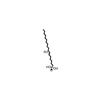 CCCCCCCCCCCCCCCCCCP(=O)(O)O.P